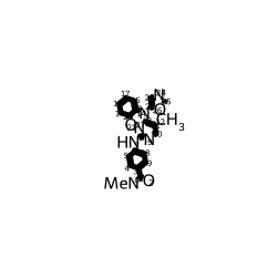 CNC(=O)c1ccc(Nc2ncc(C)c(N(C3=CC=CCC3=O)c3cnco3)n2)cc1